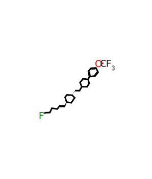 FCCCC/C=C/[C@H]1CC[C@H](CCC2CCC(c3ccc(OC(F)(F)F)cc3)CC2)CC1